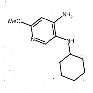 COc1cc(N)c(NC2CCCCC2)cn1